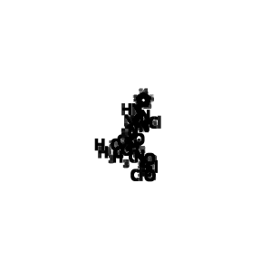 CN(C[C@H]1O[C@@H](n2cnc3c(NC4CCCC4)nc(Cl)nc32)[C@@H]2OC(C)(C)O[C@@H]21)C(=O)CP(=O)(Cl)Cl